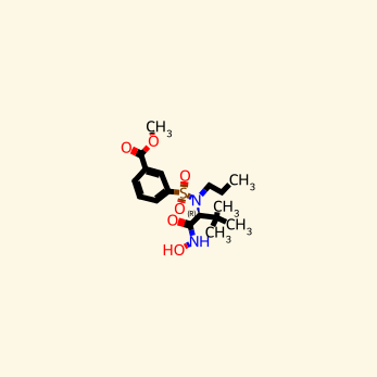 CCCN([C@@H](C(=O)NO)C(C)(C)C)S(=O)(=O)c1cccc(C(=O)OC)c1